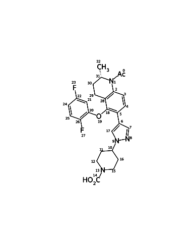 CC(=O)N1c2ccc(-c3cnn(C4CCN(C(=O)O)CC4)c3)c(Oc3cc(F)ccc3F)c2CC[C@@H]1C